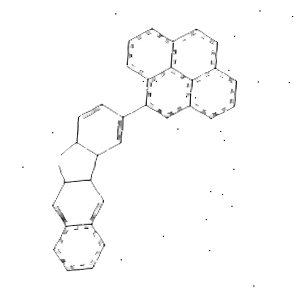 C1=CC2SC3C=c4ccccc4=CC3C2C=C1c1cc2cccc3ccc4cccc1c4c32